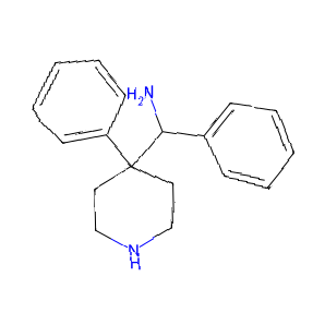 NC(c1ccccc1)C1(c2ccccc2)CCNCC1